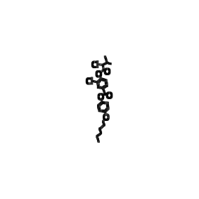 CCCCCCOc1ccc(OC(=O)c2ccc(OC(=O)C(Cl)C(C)C)c(Cl)c2)cc1